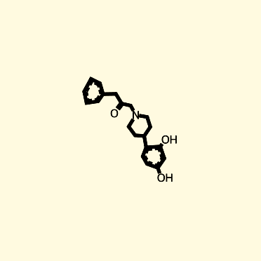 O=C(Cc1ccccc1)CN1CCC(c2ccc(O)cc2O)CC1